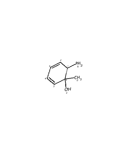 CC1(O)C=CC=CC1P